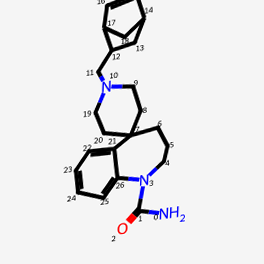 NC(=O)N1CCCC2(CCN(CC3CC4C=CC3C4)CC2)c2ccccc21